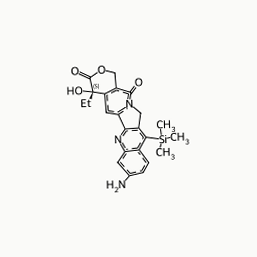 CC[C@@]1(O)C(=O)OCc2c1cc1n(c2=O)Cc2c-1nc1cc(N)ccc1c2[Si](C)(C)C